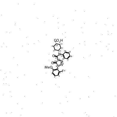 COc1cccc(F)c1-n1nnn(C(=O)N(c2ccccc2)[C@H]2CC[C@@H](C(=O)O)CC2)c1=O